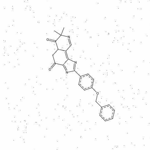 CC1(C)N=CC2=C3N=C(c4ccc(OCc5ccccc5)cc4)N=C3C(=O)CC2C1=O